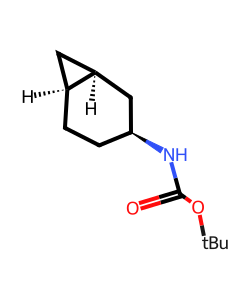 CC(C)(C)OC(=O)N[C@H]1CC[C@H]2C[C@H]2C1